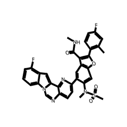 CNC(=O)c1c(-c2ccc(F)cc2C)oc2cc(N(C)S(C)(=O)=O)c(-c3ccc4ncn5c6cccc(F)c6cc5c4n3)cc12